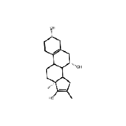 CC1=C(O)[C@@]2(C)CCC3C4=C(C[C@@H](O)CC4)C[C@H](O)C3C2C1